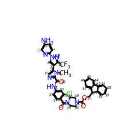 Cn1c(-c2cn(-c3ccc(N)cn3)nc2C(F)(F)F)cnc1C(=O)Nc1ccc(C(=O)N2CCN(C(=O)OCC3c4ccccc4-c4ccccc43)CC2)c(Cl)c1